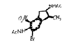 CC(=O)Nc1c(Br)cc2c(c1[N+](=O)[O-])CC(NC(C)=O)C2C